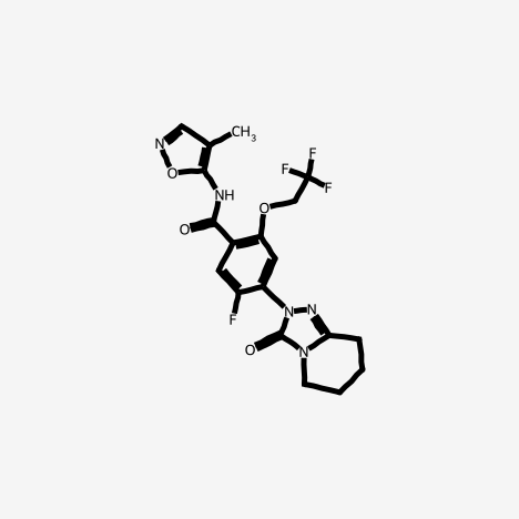 Cc1cnoc1NC(=O)c1cc(F)c(-n2nc3n(c2=O)CCCC3)cc1OCC(F)(F)F